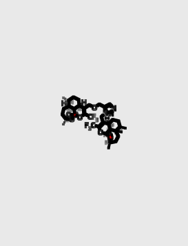 C[C@@H]1CC[C@H]2C(COCc3cnnn3CC3=C(C(F)(F)F)O[C@@H]4O[C@]5(C)CC[C@@]6(C)[C@H](C)CC[C@@H]3[C@@]46OO5)=C(C(F)(F)F)O[C@@H]3O[C@]4(C)CC[C@@H]1[C@]32OO4